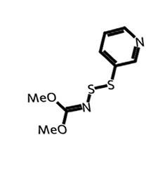 COC(=NSSc1cccnc1)OC